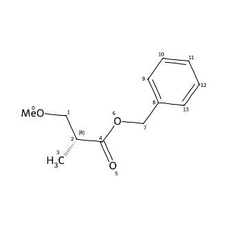 COC[C@@H](C)C(=O)OCc1ccccc1